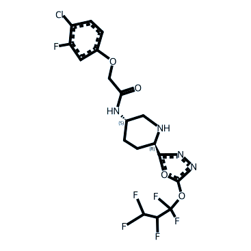 O=C(COc1ccc(Cl)c(F)c1)N[C@H]1CC[C@H](c2nnc(OC(F)(F)C(F)C(F)F)o2)NC1